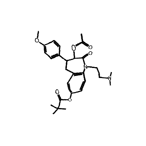 COc1ccc(C2Cc3cc(OC(=O)C(C)(C)C)ccc3N(CCN(C)C)C(=O)C2OC(C)=O)cc1